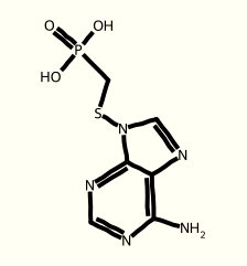 Nc1ncnc2c1ncn2SCP(=O)(O)O